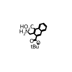 CC(C)(C)OC(=O)c1cc2ccccc2c(C(=O)O)c1CN